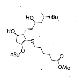 CCCCOC1=C(SCCCCCC(=O)OC)[C@@H](/C=C/[C@@H](O)C[C@@H](C)CCCC)[C@H](O)C1